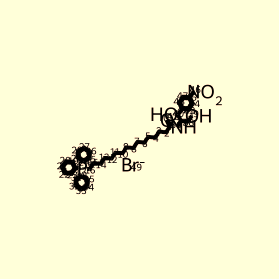 O=C(CCCCCCCCCCCCCCC[P+](c1ccccc1)(c1ccccc1)c1ccccc1)NC(CO)C(O)c1ccc([N+](=O)[O-])cc1.[Br-]